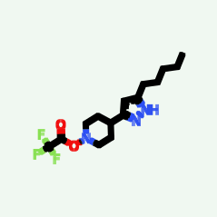 CCCCCc1cc(C2CCN(OC(=O)C(F)(F)F)CC2)n[nH]1